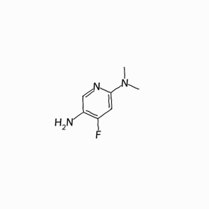 CN(C)c1cc(F)c(N)cn1